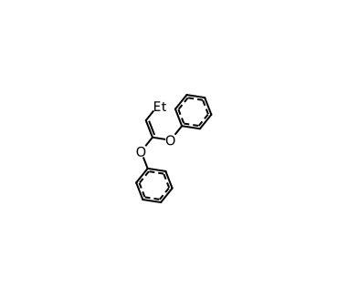 CCC=C(Oc1ccccc1)Oc1ccccc1